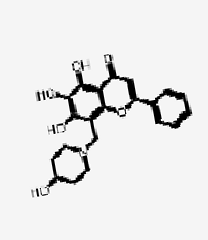 O=c1cc(-c2ccccc2)oc2c(CN3CCC(O)CC3)c(O)c(O)c(O)c12